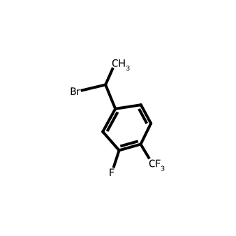 CC(Br)c1ccc(C(F)(F)F)c(F)c1